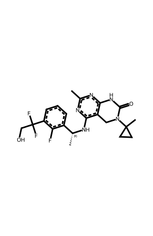 Cc1nc2c(c(N[C@H](C)c3cccc(C(F)(F)CO)c3F)n1)CN(C1(C)CC1)C(=O)N2